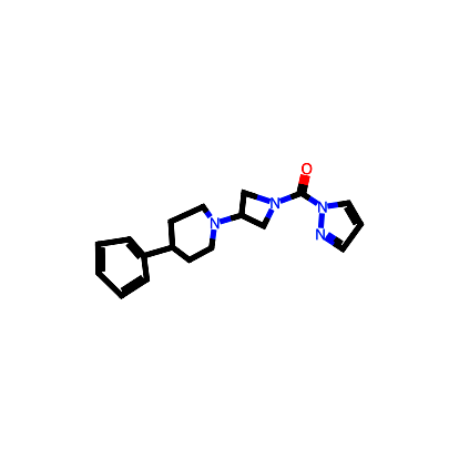 O=C(N1CC(N2CCC(c3ccccc3)CC2)C1)n1cccn1